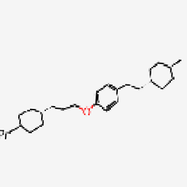 CCC[C@H]1CC[C@H](CCCOc2ccc(CC[C@H]3CC[C@H](C)CC3)cc2)CC1